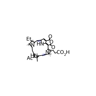 CC[C@H]1C2=NC(Cc3[nH]c(c(C)c3C(C)=O)/C=C3\N=C(C4=c5[nH]/c(cc5C(=O)OC4=O)=C\2)[C@@H](CCC(=O)O)[C@@H]3C)[C@@H]1C